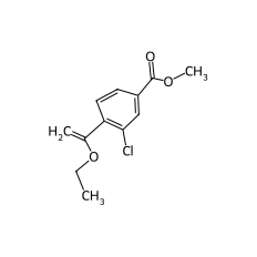 C=C(OCC)c1ccc(C(=O)OC)cc1Cl